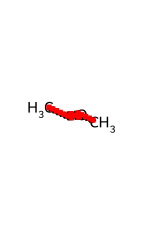 CCCCCCCCCCC1CCC([C@H]2CC[C@H](OCCCCCCC)CC2)CC1